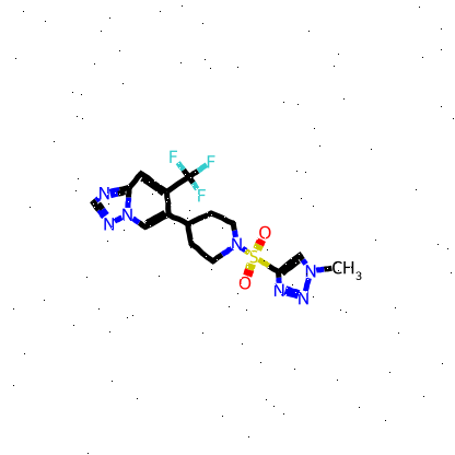 Cn1cc(S(=O)(=O)N2CCC(c3cn4ncnc4cc3C(F)(F)F)CC2)nn1